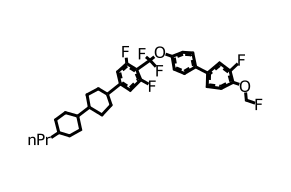 CCCC1CCC(C2CCC(c3cc(F)c(C(F)(F)Oc4ccc(-c5ccc(OCF)c(F)c5)cc4)c(F)c3)CC2)CC1